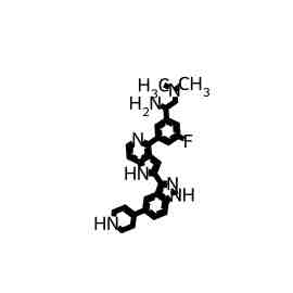 CN(C)CC(N)c1cc(F)cc(-c2nccc3[nH]c(-c4n[nH]c5ccc(C6=CCNCC6)cc45)cc23)c1